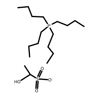 CC(O)S(=O)(=O)[O-].CCCC[P+](CCCC)(CCCC)CCCC